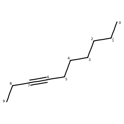 C[CH]CCCCC#CCC